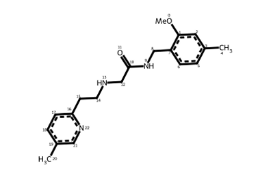 COc1cc(C)ccc1CNC(=O)CNCCc1ccc(C)cn1